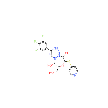 N/C(=C\N1NC(O)C(Sc2ccncc2)OC(CO)C1O)c1cc(F)c(F)c(F)c1